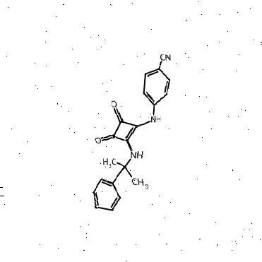 CC(C)(Nc1c(Nc2ccc(C#N)cc2)c(=O)c1=O)c1ccccc1